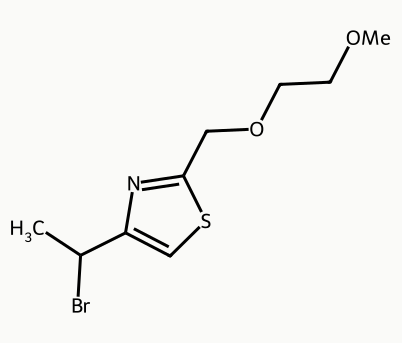 COCCOCc1nc(C(C)Br)cs1